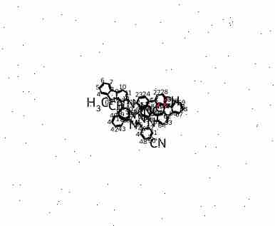 CC1(C)c2ccccc2-c2ccc3c(c21)c1ccccc1n3-c1ccc(-c2ccccc2C#N)cc1-c1nc(-c2ccccc2)nc(-c2ccc(C#N)cc2-n2c3ccccc3c3c4c(ccc32)-c2ccccc2C4(C)C)n1